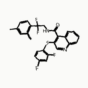 Cc1ccc(C(F)(F)CNC(=O)c2c(Sc3ccc(F)cc3F)cnc3ccccc23)c(C)c1